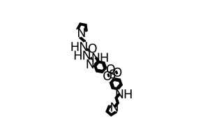 O=C(NCCN1CCCC1)Nc1nc2ccc(OS(=O)(=O)c3ccc(NCCN4CCCC4)cc3)cc2[nH]1